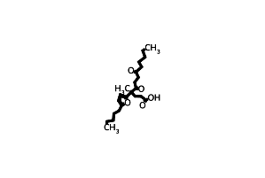 CCCCCC(=O)CCC(=O)C(C)(CCC(=O)O)c1ccc(CCCCC)o1